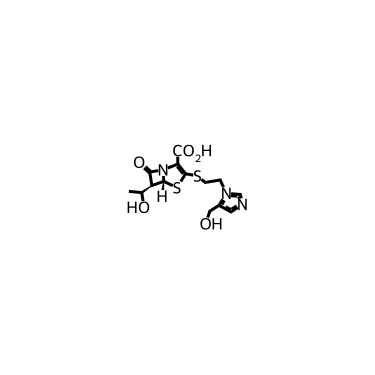 CC(O)[C@H]1C(=O)N2C(C(=O)O)=C(SCCn3cncc3CO)S[C@H]12